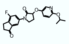 CC(C)Oc1ccc(OC2CCN(c3cc(F)c4c(c3)C(=O)CC4)C2=O)cn1